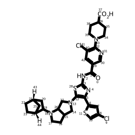 O=C(Nc1nc(-c2cc(Cl)cs2)c(N2CC3CCN(C4C[C@H]5CC[C@@H]4C5)C3C2)s1)c1cnc(N2CCC(C(=O)O)CC2)c(Cl)c1